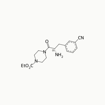 CCOC(=O)N1CCN(C(=O)[C@@H](N)Cc2cccc(C#N)c2)CC1